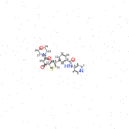 O=C(Nc1ccncc1)c1cccc(-c2csc3c(=O)cc(N4CCOCC4)oc23)c1